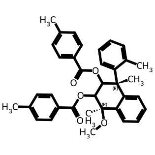 CO[C@]1(C)c2ccccc2[C@@](C)(c2ccccc2C)C(OC(=O)c2ccc(C)cc2)C1OC(=O)c1ccc(C)cc1